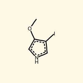 COc1c[nH]cc1I